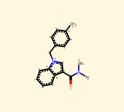 CC(=O)N(C(=O)c1cn(Cc2ccc(C)cc2)c2ccccc12)C(C)(C)C